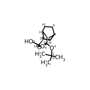 CC(C)(C)OC(=O)N1C2CCC1[C@H](C(=O)O)C2